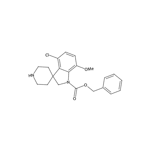 COc1ccc(Cl)c2c1N(C(=O)OCc1ccccc1)CC21CCNCC1